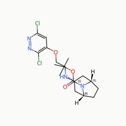 CC(C)(C)OC(=O)N1[C@@H]2CC[C@H]1C[C@H](NCCOc1cc(Cl)nnc1Cl)C2